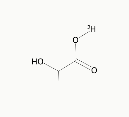 [2H]OC(=O)C(C)O